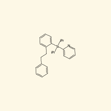 CC(C)[Si](c1ccccn1)(c1ccccc1CCc1ccccc1)C(C)C